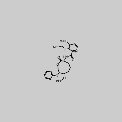 CCCO[C@H]1CCC[C@H](NC(=O)c2nccc(OC)c2OCOC(C)=O)C(=O)O[C@@H](C)[C@@H]1Oc1ccccc1